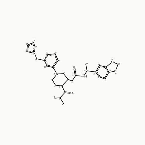 CC(C)C(=O)N1CCN(c2ccnc(Cn3ccnc3)n2)CC1CC(=O)NC(C)c1ccc2c(c1)OCO2